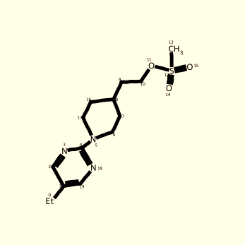 CCc1cnc(N2CCC(CCOS(C)(=O)=O)CC2)nc1